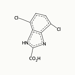 O=C(O)c1nc2c(Cl)ccc(Cl)c2[nH]1